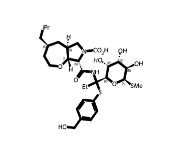 CCC(NC(=O)[C@@H]1[C@@H]2OCC[C@@H](CC(C)C)C[C@H]2CN1C(=O)O)(Sc1ccc(CO)cc1)[C@@H]1O[C@H](SC)[C@H](O)[C@@H](O)[C@H]1O